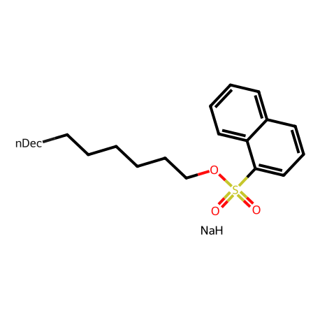 CCCCCCCCCCCCCCCCOS(=O)(=O)c1cccc2ccccc12.[NaH]